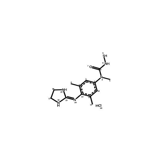 Cc1cc(N(C)C(=O)NS)cc(C)c1N=C1NCCN1.Cl